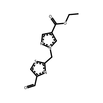 CCOC(=O)c1cnn(Cc2nc(C=O)cs2)c1